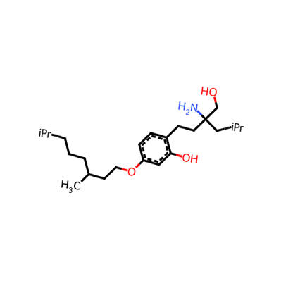 CC(C)CCCC(C)CCOc1ccc(CCC(N)(CO)CC(C)C)c(O)c1